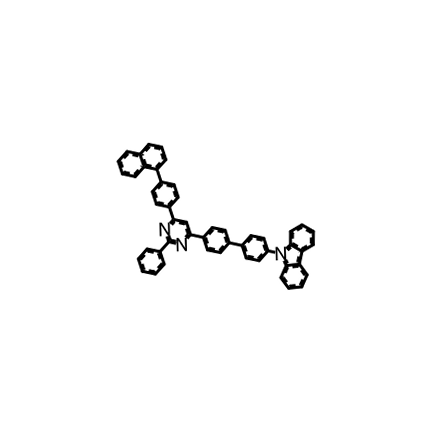 c1ccc(-c2nc(-c3ccc(-c4ccc(-n5c6ccccc6c6ccccc65)cc4)cc3)cc(-c3ccc(-c4cccc5ccccc45)cc3)n2)cc1